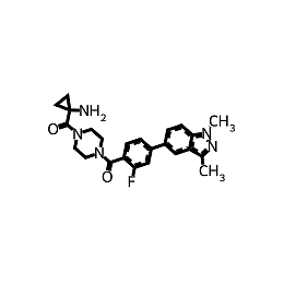 Cc1nn(C)c2ccc(-c3ccc(C(=O)N4CCN(C(=O)C5(N)CC5)CC4)c(F)c3)cc12